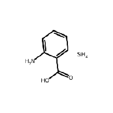 Nc1ccccc1C(=O)O.[SiH4]